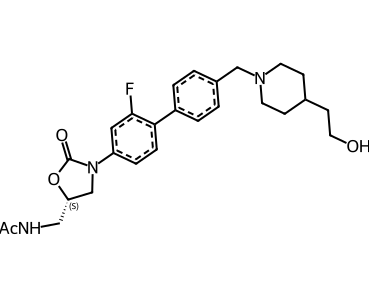 CC(=O)NC[C@H]1CN(c2ccc(-c3ccc(CN4CCC(CCO)CC4)cc3)c(F)c2)C(=O)O1